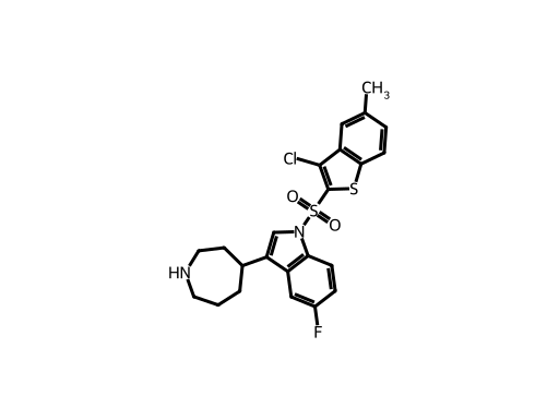 Cc1ccc2sc(S(=O)(=O)n3cc(C4CCCNCC4)c4cc(F)ccc43)c(Cl)c2c1